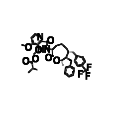 COc1ccnc(C(=O)N[C@H]2CCC[C@H](Cc3ccc(C(F)(F)F)cc3)[C@@H](Cc3ccccc3)[C@H](C)OC2=O)c1OCOC(=O)C(C)C